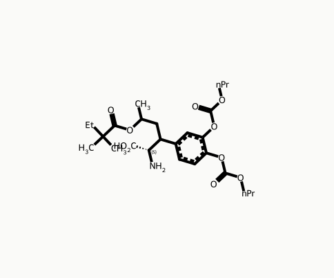 CCCOC(=O)Oc1ccc(C(CC(C)OC(=O)C(C)(C)CC)[C@H](N)C(=O)O)cc1OC(=O)OCCC